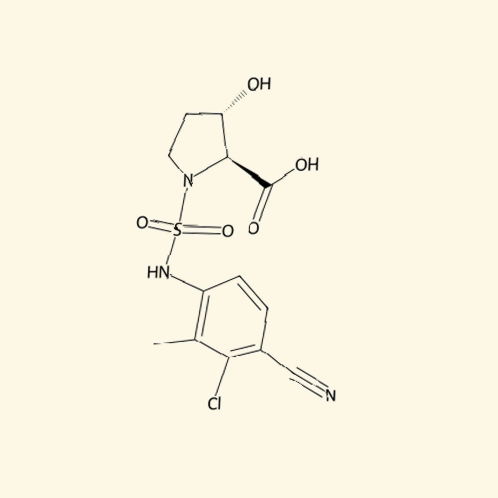 Cc1c(NS(=O)(=O)N2CC[C@H](O)[C@H]2C(=O)O)ccc(C#N)c1Cl